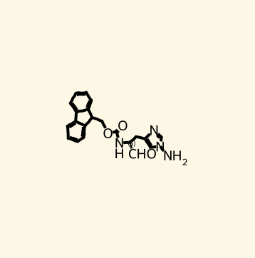 Nn1cnc(C[C@@H](C=O)NC(=O)OCC2c3ccccc3-c3ccccc32)c1